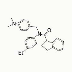 CCc1ccc(N(Cc2ccc(N(C)C)cc2)C(=O)C2CCc3ccccc32)cc1